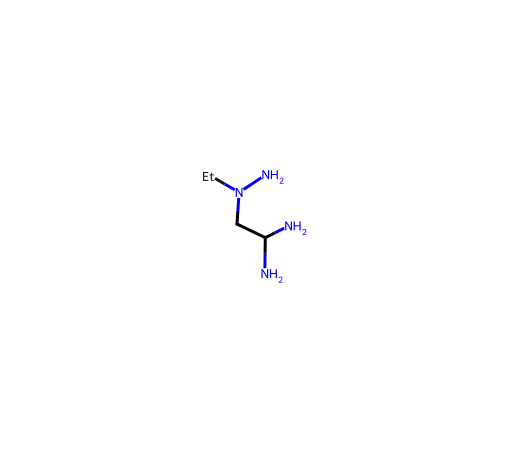 CCN(N)CC(N)N